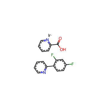 Fc1ccc(-c2ccccn2)c(F)c1.O=C(O)c1ccccn1.[Ir]